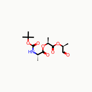 C[C@H](NC(=O)OC(C)(C)C)C(=O)O[C@@H](C)C(=O)O[C@@H](C)C=O